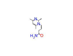 CC1=CC(C)=N[C@@H](C)N1/C=C\CC(N)=O